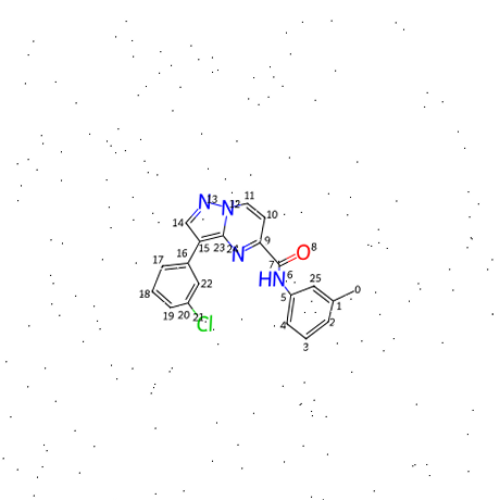 Cc1cccc(NC(=O)c2ccn3ncc(-c4cccc(Cl)c4)c3n2)c1